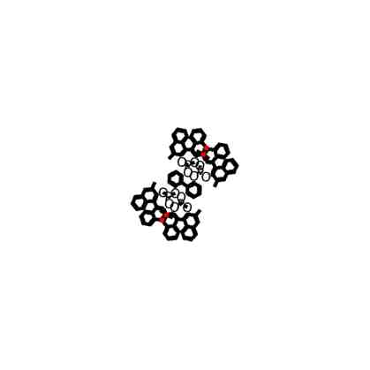 Cc1cc2ccccc2c2c1op(Oc1cccc(Op3oc4c(C)cc5ccccc5c4c4c(o3)c(C)cc3ccccc34)c1-c1c(Op3oc4c(C)cc5ccccc5c4c4c(o3)c(C)cc3ccccc34)cccc1Op1oc3c(C)cc4ccccc4c3c3c(o1)c(C)cc1ccccc13)oc1c(C)cc3ccccc3c12